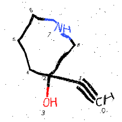 C#CC1(O)CCCNC1